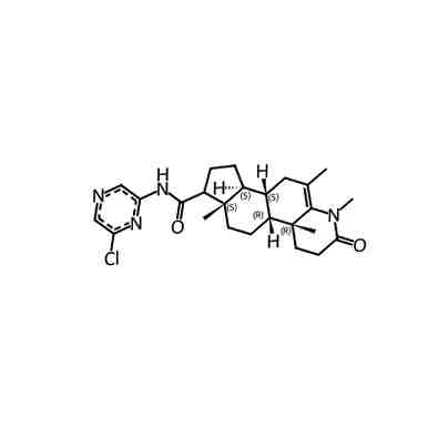 CC1=C2N(C)C(=O)CC[C@]2(C)[C@@H]2CC[C@]3(C)C(C(=O)Nc4cncc(Cl)n4)CC[C@H]3[C@@H]2C1